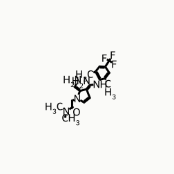 Cc1cc(C(F)(F)F)cc(C)c1N/C(N)=c1\ccn(CC(=O)N(C)C)\c1=C\N